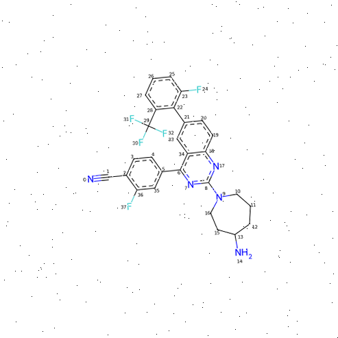 N#Cc1ccc(-c2nc(N3CCCC(N)CC3)nc3ccc(-c4c(F)cccc4C(F)(F)F)cc23)cc1F